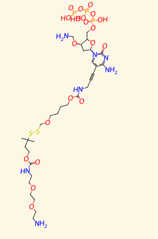 CC(C)(CCOC(=O)NCCOCCOCCN)SSCOCCCCOC(=O)NCC#Cc1cn([C@H]2C[C@@H](OCN)C(COP(=O)(O)OP(=O)(O)OP(=O)(O)O)O2)c(=O)nc1N